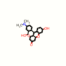 CN(C)c1ccc(-c2c3ccc(=O)cc-3oc3cc(O)ccc23)c(C(=O)O)c1